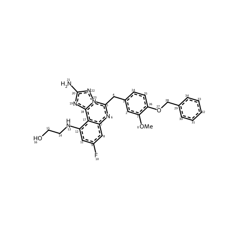 COc1cc(Cc2nc3cc(F)cc(NCCO)c3c3nc(N)nn23)ccc1OCc1ccccc1